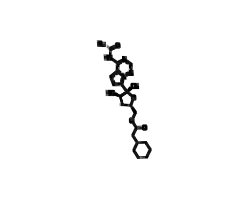 CC[C@@H](C)C(=O)Nc1ncnn2c([C@]3(C#N)O[C@@H](COC(=O)CC4CCCCC4)[CH][C@H]3O)ccc12